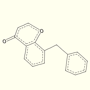 O=c1ccoc2c(Cc3ccccc3)cccc12